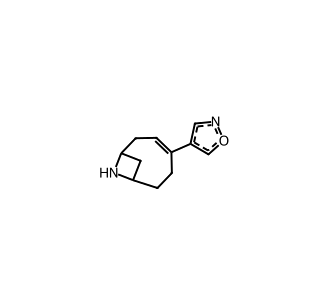 C1=C(/c2cnoc2)CCC2CC(C/1)N2